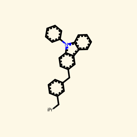 CC(C)Cc1cccc(Cc2ccc3c(c2)c2ccccc2n3-c2ccccc2)c1